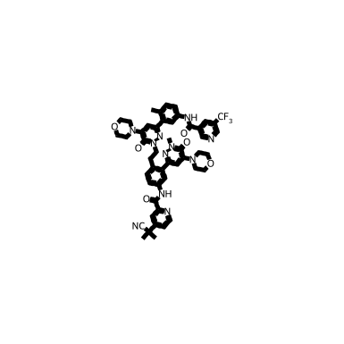 Cc1ccc(NC(=O)c2cncc(C(F)(F)F)c2)cc1-c1cc(N2CCOCC2)c(=O)n(CCc2ccc(NC(=O)c3cc(C(C)(C)C#N)ccn3)cc2-c2cc(N3CCOCC3)c(=O)n(C)n2)n1